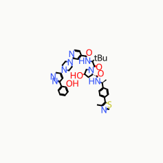 Cc1ncsc1-c1ccc([C@H](C)NC(=O)[C@@H]2C[C@@H](O)CN2C(=O)C(NC(=O)c2ccnc(N3CCN(c4cnnc(-c5ccccc5O)c4)CC3)c2)C(C)(C)C)cc1